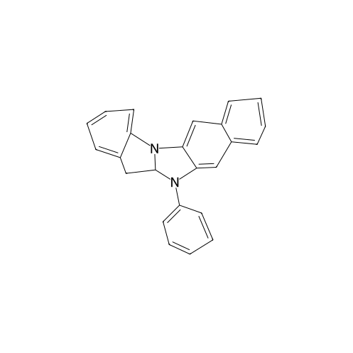 c1ccc(N2c3cc4ccccc4cc3N3c4ccccc4CC23)cc1